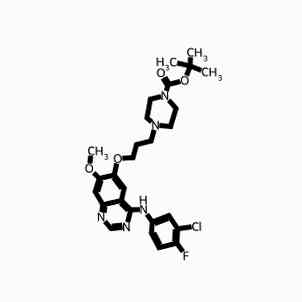 COc1cc2ncnc(Nc3ccc(F)c(Cl)c3)c2cc1OCCCN1CCN(C(=O)OC(C)(C)C)CC1